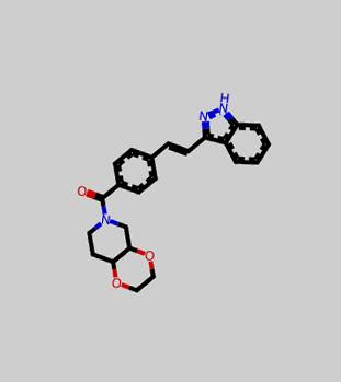 O=C(c1ccc(C=Cc2n[nH]c3ccccc23)cc1)N1CCC2OCCOC2C1